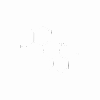 CNc1c(Br)ccc(F)c1Cc1ccccc1C